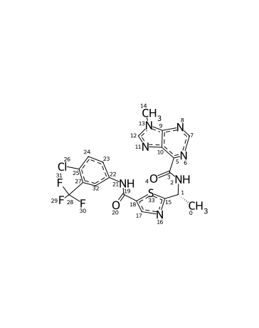 C[C@@H](NC(=O)c1ncnc2c1ncn2C)c1ncc(C(=O)Nc2ccc(Cl)c(C(F)(F)F)c2)s1